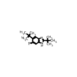 CC(C)(C)c1nc2cc(C(C)(C)C)c(F)cc2[nH]1